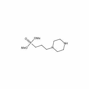 COP(=O)(CCCN1CCNCC1)OC